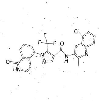 Cc1nc2cccc(Cl)c2cc1NC(=O)c1cnn(-c2cccc3c(=O)[nH]ccc23)c1C(F)(F)F